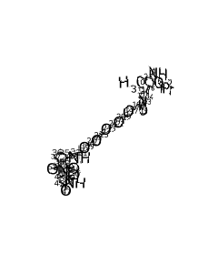 Cc1cc(N)c(OC(C)C)cc1C1CCN(C(=O)CCOCCOCCOCCOCCOCCNc2cccc3c2C(=O)N(C2CCC(=O)NC2=O)C3=O)CC1